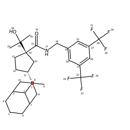 CN(C1C2CCCC1COC2)[C@@H]1CC[C@@](C(=O)NCc2cc(C(F)(F)F)cc(C(F)(F)F)c2)(C(C)(C)O)C1